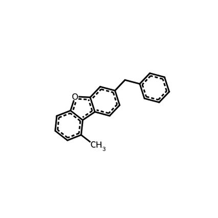 Cc1cccc2oc3cc(Cc4ccccc4)ccc3c12